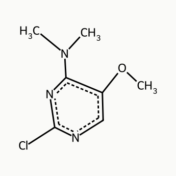 COc1cnc(Cl)nc1N(C)C